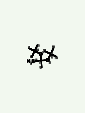 CC([SiH3])(O[Si](C)(C)C)O[Si](C)(C)C